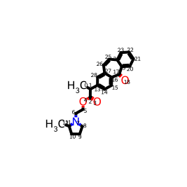 CC(C(=O)OCCN1CCCC1C)c1ccc2c(=O)c3ccccc3ccc2c1